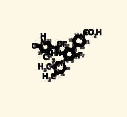 C[C@H]1CN(c2cc(F)c(C3=CCN(C(=O)O)CC3)c(F)c2NC(=O)c2c[nH]c(=O)cc2C(F)(F)F)CCN1C